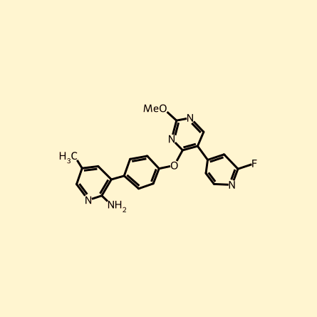 COc1ncc(-c2ccnc(F)c2)c(Oc2ccc(-c3cc(C)cnc3N)cc2)n1